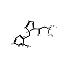 CN(C)CC(=O)c1cccn1Cc1ccccc1F